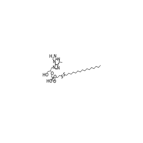 CCCCCCCCCCCCCCCCSSCCOP(=O)(O)COC(CO)Cn1cnc2c(C)nc(N)nc21